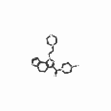 CCN1CCN(C(=O)c2nn(CCN3CCOCC3)c3c2CCc2sccc2-3)CC1